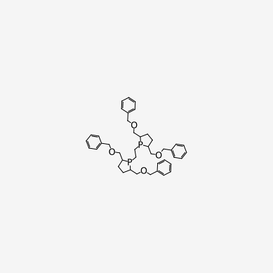 c1ccc(COCC2CCC(COCc3ccccc3)P2CCP2C(COCc3ccccc3)CCC2COCc2ccccc2)cc1